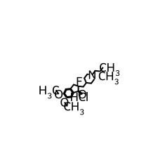 COc1cc2c(cc1OC)C(=O)C(F)(CC1CCN(CC(C)C)CC1)C2.Cl